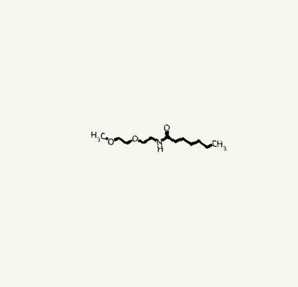 CCCCCCC(=O)NCCOCCOC